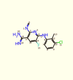 C=Nc1nc(Nc2cccc(Cl)c2C)c(F)cc1C(=N)N